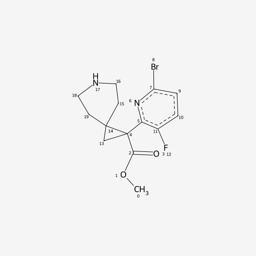 COC(=O)C1(c2nc(Br)ccc2F)CC12CCNCC2